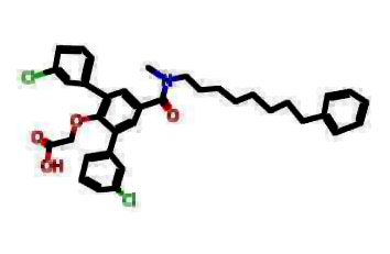 CN(CCCCCCCCc1ccccc1)C(=O)c1cc(-c2cccc(Cl)c2)c(OCC(=O)O)c(-c2cccc(Cl)c2)c1